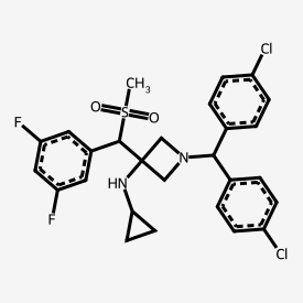 CS(=O)(=O)C(c1cc(F)cc(F)c1)C1(NC2CC2)CN(C(c2ccc(Cl)cc2)c2ccc(Cl)cc2)C1